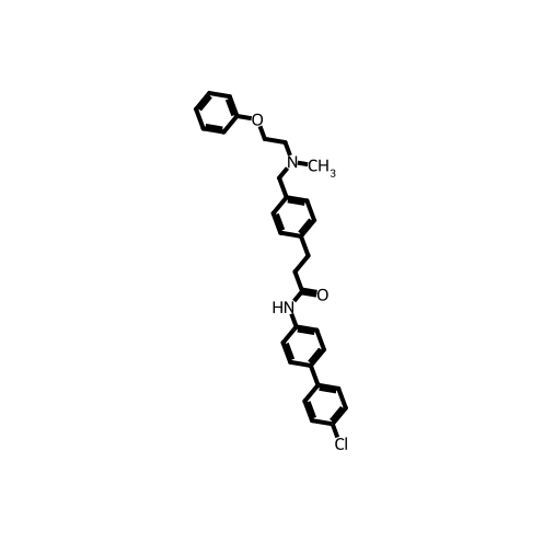 CN(CCOc1ccccc1)Cc1ccc(CCC(=O)Nc2ccc(-c3ccc(Cl)cc3)cc2)cc1